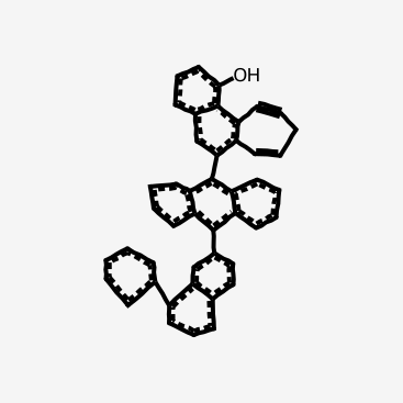 Oc1cccc2cc(-c3c4ccccc4c(-c4ccc5cccc(-c6ccccc6)c5c4)c4ccccc34)c3c(c12)C#CCC=C3